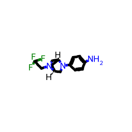 Nc1ccc(N2C[C@@H]3C[C@H]2CN3CC(F)(F)F)cc1